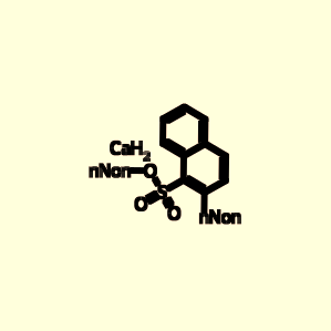 CCCCCCCCCOS(=O)(=O)c1c(CCCCCCCCC)ccc2ccccc12.[CaH2]